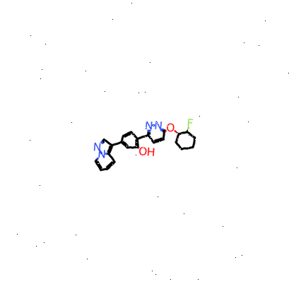 Oc1cc(-c2cnn3ccccc23)ccc1-c1ccc(O[C@@H]2CCCC[C@@H]2F)nn1